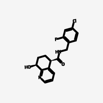 O=C(NCc1ccc(Cl)cc1F)[C@H]1CC[C@H](O)c2ncccc21